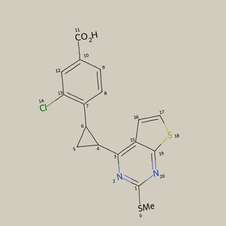 CSc1nc(C2CC2c2ccc(C(=O)O)cc2Cl)c2ccsc2n1